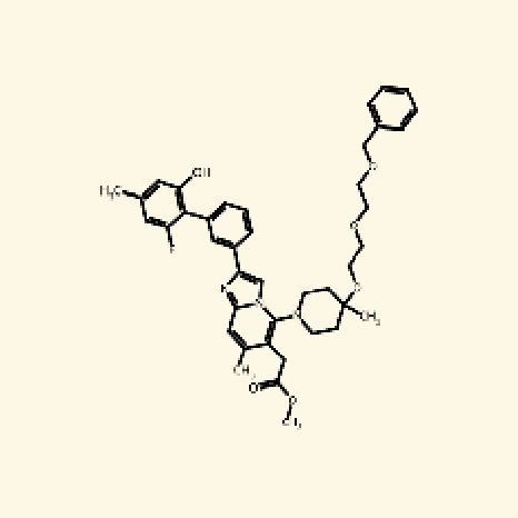 COC(=O)Cc1c(C)cc2nc(-c3cccc(-c4c(O)cc(C)cc4F)c3)cn2c1N1CCC(C)(OCCOCCOCc2ccccc2)CC1